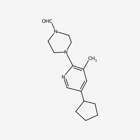 Cc1cc(C2CCCC2)cnc1N1CCN(C=O)CC1